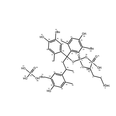 CCCCCCCCCCCCCOP(=O)(OC(CC(C)c1cc(CCCC)c(O)cc1C)(c1cc(CCCC)c(O)cc1C)c1cc(CCCC)c(O)cc1C)OP(=O)(O)O.O=P(O)(O)O